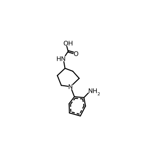 Nc1ccccc1N1CCC(NC(=O)O)CC1